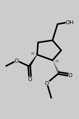 COC(=O)[C@H]1CC(CO)C[C@@H]1C(=O)OC